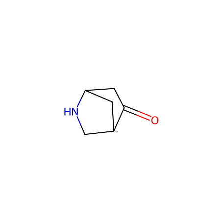 O=C1CC2C[C]1CN2